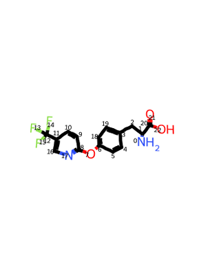 NC(Cc1ccc(Oc2ccc(C(F)(F)F)cn2)cc1)C(=O)O